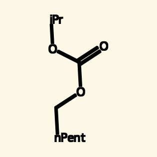 CCCCCCOC(=O)OC(C)C